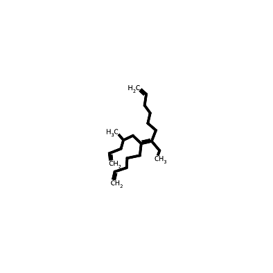 C=CCCCCC(CC)=C(CCCC=C)CC(C)CC=C